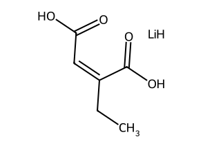 CC/C(=C/C(=O)O)C(=O)O.[LiH]